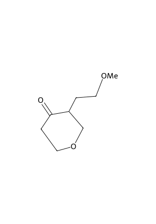 COCCC1COCCC1=O